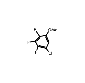 COc1cc(Cl)c(F)c(F)c1F